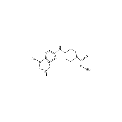 CC(=O)N1C[C@H](C)Cc2cc(NC3CCN(C(=O)OC(C)(C)C)CC3)ccc21